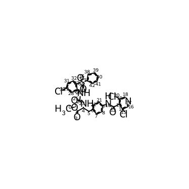 COC(=O)C(Cc1ccc(NC(=O)c2c(Cl)cncc2Cl)cc1)NC(=O)Nc1cc(Cl)ccc1S(=O)(=O)c1ccccc1